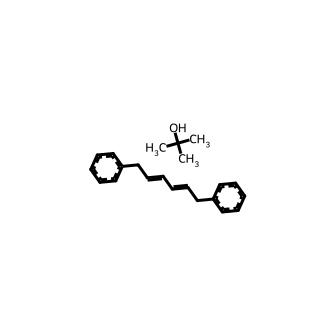 C(C=CCc1ccccc1)=CCc1ccccc1.CC(C)(C)O